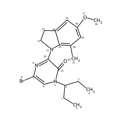 CCC(CC)n1cc(Br)nc(N2CCc3cc(OC)cc(C)c32)c1=O